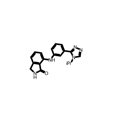 CC(C)n1cnnc1-c1cccc(Nc2cccc3c2C(=O)NC3)c1